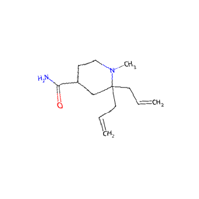 C=CCC1(CC=C)CC(C(N)=O)CCN1C